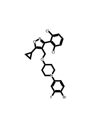 Fc1cc(N2CCC(OCc3c(-c4c(Cl)cccc4Cl)noc3C3CC3)CC2)ccc1Br